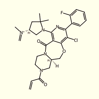 C=CC(=O)N1CCN2C(=O)c3c(N4C[C@H]([N+](=C)C)CC4(C)C)nc(-c4ccccc4F)c(Cl)c3OC[C@H]2C1